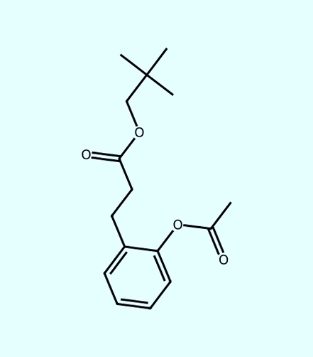 CC(=O)Oc1ccccc1CCC(=O)OCC(C)(C)C